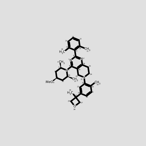 CO[C@H]1C[C@@H](C)N(c2nc(-c3c(C)cccc3C)nc3c2CN(c2cc(C4(C)COC4)ccc2C)CC3)[C@@H](C)C1